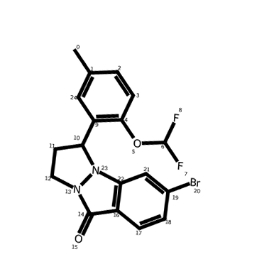 Cc1ccc(OC(F)F)c(C2CCn3c(=O)c4ccc(Br)cc4n32)c1